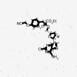 CCOC(=O)C(Cc1ccc(OCC#N)cc1)(OC[C@@H]1C[C@H](F)[C@H](n2cnc3c(N)nc(Cl)nc32)O1)C(=O)OCC